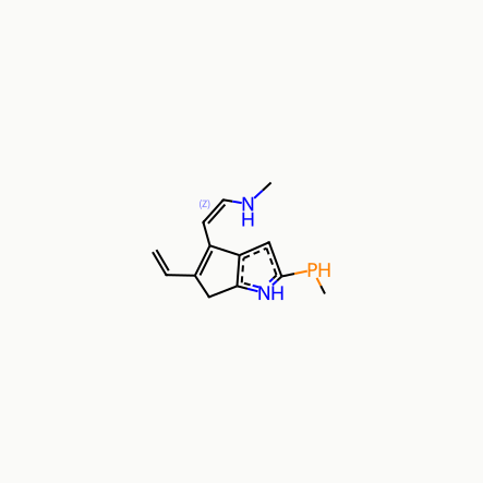 C=CC1=C(/C=C\NC)c2cc(PC)[nH]c2C1